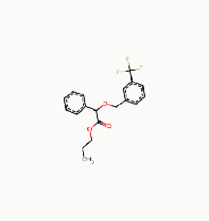 CCCOC(=O)C(OCc1cccc(C(F)(F)F)c1)c1ccccc1